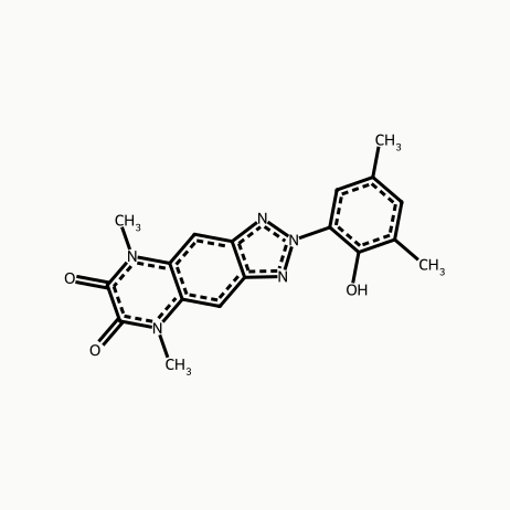 Cc1cc(C)c(O)c(-n2nc3cc4c(cc3n2)n(C)c(=O)c(=O)n4C)c1